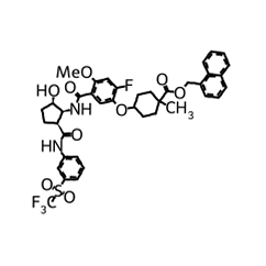 COc1cc(F)c(OC2CCC(C)(C(=O)OCc3cccc4ccccc34)CC2)cc1C(=O)N[C@@H]1[C@H](O)CC[C@@H]1C(=O)Nc1cccc(S(=O)(=O)C(F)(F)F)c1